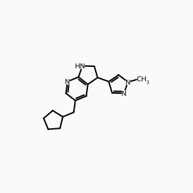 Cn1cc(C2CNc3ncc(CC4CCCC4)cc32)cn1